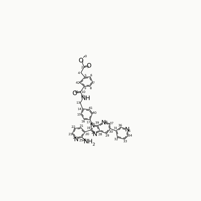 COC(=O)Cc1cccc(C(=O)NCc2ccc(-n3c(-c4cccnc4N)nc4cc(-c5cccnc5)cnc43)cc2)c1